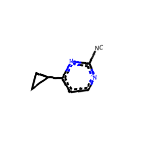 [C-]#[N+]c1nccc(C2CC2)n1